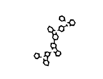 c1ccc(-n2c(-c3ccc(-n4c5ccccc5c5cc(-c6ccc7c(c6)c6ccccc6n7-c6ccc7c(c6)c6ccccc6n7-c6ccccc6)ccc54)cc3)nc3ccccc32)cc1